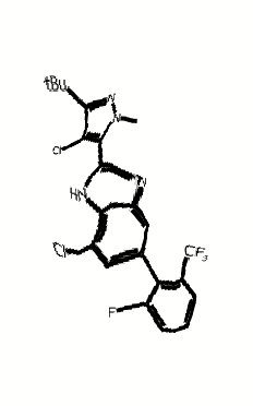 Cn1nc(C(C)(C)C)c(Cl)c1-c1nc2cc(-c3c(F)cccc3C(F)(F)F)cc(Cl)c2[nH]1